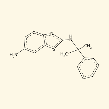 CC(C)(Nc1nc2[c]cc(N)cc2s1)c1ccccc1